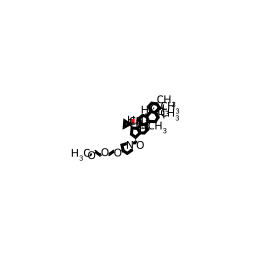 COCCOCCOC1CCN(C(=O)[C@@H]2C[C@@H](C3(C)CC3)[C@H]3C2CC[C@]2(C)[C@@H]3CC[C@@H]3[C@@]4(C)CC[C@H](C)C(C)(C)[C@@H]4CC[C@]32C)CC1